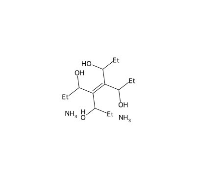 CCC(O)C(=C(C(O)CC)C(O)CC)C(O)CC.N.N